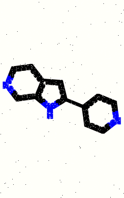 c1cc(-c2cc3ccncc3[nH]2)ccn1